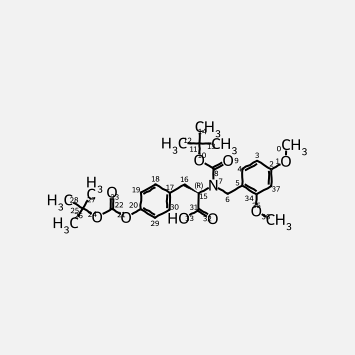 COc1ccc(CN(C(=O)OC(C)(C)C)[C@H](Cc2ccc(OC(=O)OC(C)(C)C)cc2)C(=O)O)c(OC)c1